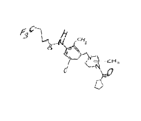 Cc1c(CN2CCN(C(=O)C3CCCC3)[C@@H](C)C2)cc(Cl)cc1NC(=O)CCCC(F)(F)F